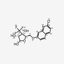 OC1O[C@H](COc2ccc3ccc(Cl)nc3c2)[C@](O)(C(F)(F)F)[C@H]1O